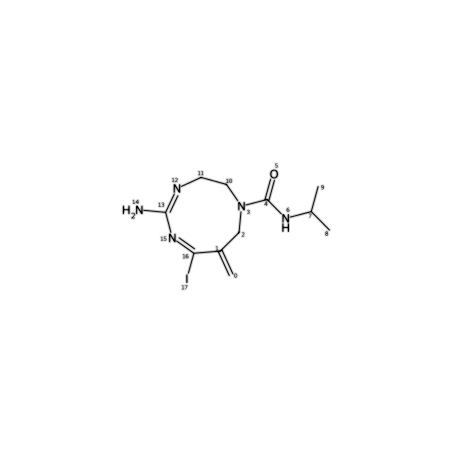 C=C1CN(C(=O)NC(C)C)CC/N=C(N)\N=C/1I